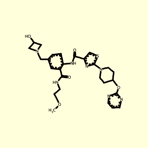 COCCNC(=O)c1cc(CN2CC(O)C2)ccc1NC(=O)c1csc(N2CCC(Oc3ncccn3)CC2)n1